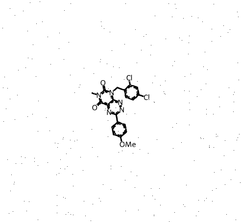 COc1ccc(-c2nnc3c(n2)c(=O)n(C)c(=O)n3Cc2ccc(Cl)cc2Cl)cc1